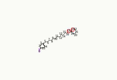 Ic1ccc(CCCCCCCCCCCCOC2CCCCO2)cc1